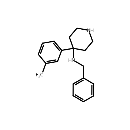 FC(F)(F)c1cccc(C2(NCc3ccccc3)CCNCC2)c1